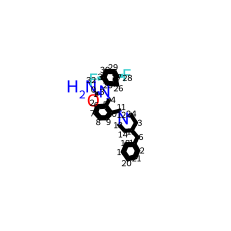 NC(=O)N(Cc1ccccc1CN1CCC(Cc2ccccc2)CC1)c1cc(F)ccc1F